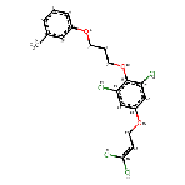 FC(F)(F)c1cccc(OCCCOc2c(Cl)cc(OCC=C(Cl)Cl)cc2Cl)c1